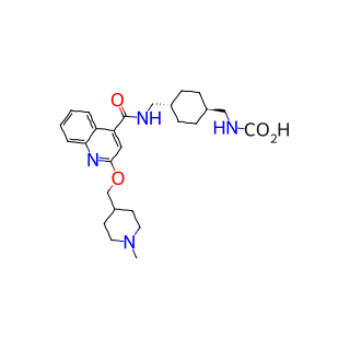 CN1CCC(COc2cc(C(=O)NC[C@H]3CC[C@H](CNC(=O)O)CC3)c3ccccc3n2)CC1